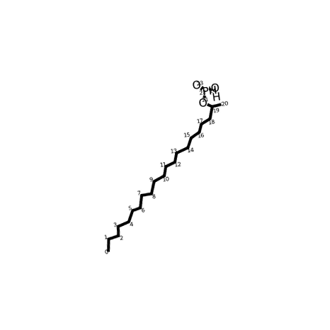 CCCCCCCCCCCCCCCCCCCC(C)O[PH](=O)O